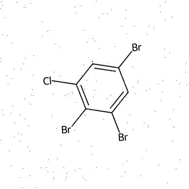 Clc1[c]c(Br)cc(Br)c1Br